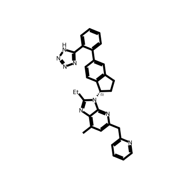 CCc1nc2c(C)cc(Cc3ccccn3)nc2n1[C@H]1CCc2cc(-c3ccccc3-c3nnn[nH]3)ccc21